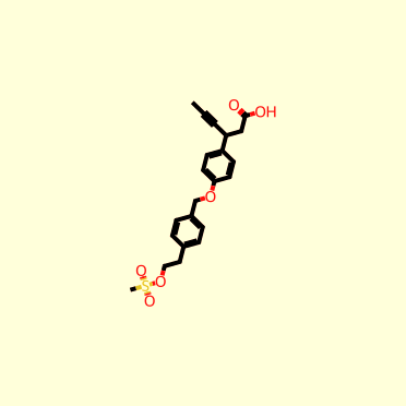 CC#CC(CC(=O)O)c1ccc(OCc2ccc(CCOS(C)(=O)=O)cc2)cc1